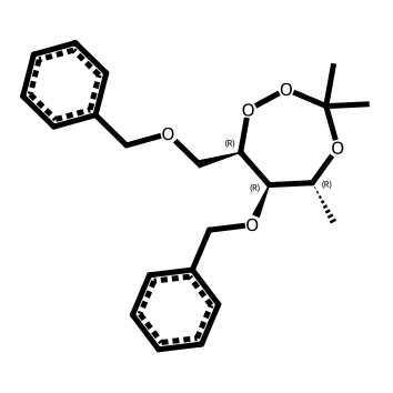 C[C@H]1OC(C)(C)OO[C@H](COCc2ccccc2)[C@@H]1OCc1ccccc1